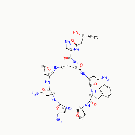 CCCCCCC[C@@H](O)CC(=O)N[C@H](CN)C(=O)N[C@H]1CCNC(=O)[C@H](CC(C)C)NC(=O)[C@H](CCN)NC(=O)[C@H](CCN)NC(=O)[C@H](CC(C)C)NC(=O)[C@@H](Cc2ccccc2)NC(=O)[C@H](CCN)NC1=O